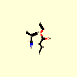 C=C(C)C#N.C=COC(=O)CCC